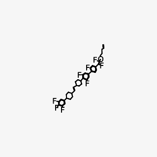 C=CCCCO/C(F)=C(\F)c1ccc(-c2cc(F)c(C3CCC(/C=C/C4CCC(c5cc(F)c(F)c(F)c5)CC4)CC3)c(F)c2)c(F)c1